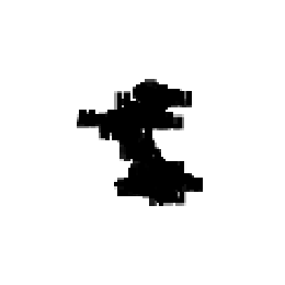 CSCC[C@H](NC(=O)CNC(=O)CC[C@H](C(=O)OC(C)(C)C)N1CCN(CC(=O)OC(C)(C)C)CCN(CC(=O)OC(C)(C)C)CCN(CC(=O)OC(C)(C)C)CC1)C(=O)N[C@H](C(=O)NCC(=O)NCCCC[C@H](NC(=O)CCCc1ccc(I)cc1)C(=O)NCCOCCOCC(=O)N[C@H](CCC(=O)OC(C)(C)C)C(=O)N[C@H](CCC(=O)OC(C)(C)C)C(=O)N[C@H](CCC(=O)OC(C)(C)C)C(=O)NCCC(=O)O)C(C)C